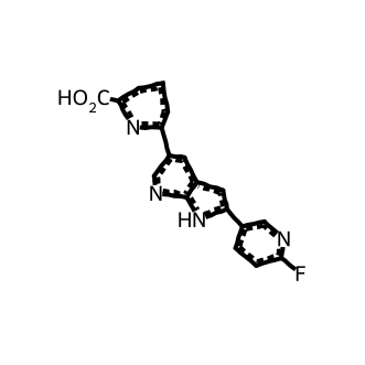 O=C(O)c1cccc(-c2cnc3[nH]c(-c4ccc(F)nc4)cc3c2)n1